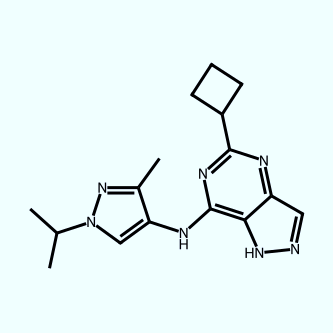 Cc1nn(C(C)C)cc1Nc1nc(C2CCC2)nc2cn[nH]c12